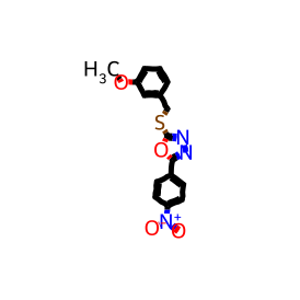 COc1cccc(CSc2nnc(-c3ccc([N+](=O)[O-])cc3)o2)c1